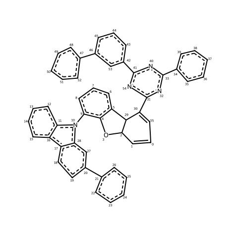 C1=CC2Oc3c(cccc3-n3c4ccccc4c4ccc(-c5ccccc5)cc43)C2C(c2nc(-c3ccccc3)nc(-c3cccc(-c4ccccc4)c3)n2)=C1